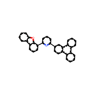 c1cc(-c2ccc3c4ccccc4c4ccccc4c3c2)nc(-c2cccc3c2oc2ccccc23)c1